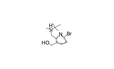 C[SiH](Cc1nc(Br)ccc1CO)C(C)(C)C